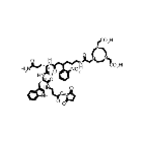 NC(=O)CC[C@H](NC(=O)CC(CCCNC(=O)CN1CCN(CC(=O)O)CCN(CC(=O)O)CC1)c1ccccc1[N+](=O)[O-])C(=O)N[C@@H](Cc1c[nH]c2ccccc12)C(=O)NCCC(=O)ON1C(=O)CCC1=O